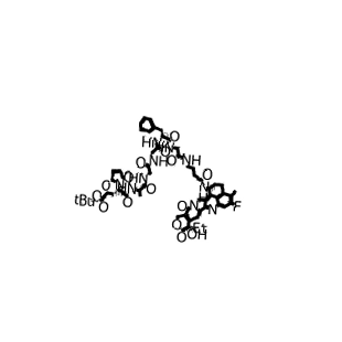 CC[C@@]1(O)C(=O)OCc2c1cc1n(c2=O)Cc2c-1nc1cc(F)c(C)c3c1c2[C@@H](NC(=O)CCCNC(=O)CNC(=O)[C@H](Cc1ccccc1)NC(=O)CNC(=O)CNC(=O)C(C)NC(=O)[C@H](CCC(=O)OC(C)(C)C)N1C(=O)C=CC1=O)CC3